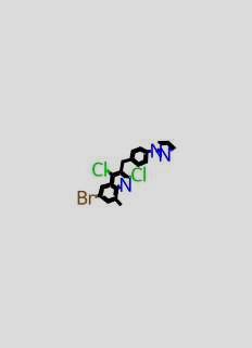 Cc1cc(Br)cc2c(Cl)c(Cc3ccc(-n4cccn4)cc3)c(Cl)nc12